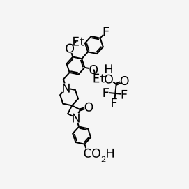 CCOc1cc(CN2CCC3(CC2)CN(c2ccc(C(=O)O)cc2)C3=O)cc(OCC)c1-c1ccc(F)cc1.O=C(O)C(F)(F)F